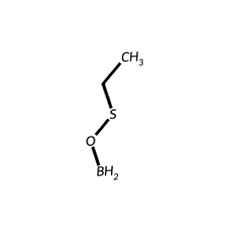 BOSCC